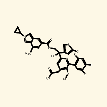 CCOc1c(CC(N)=O)cc(C(O)(CNC(=O)c2cc(OC)c3nn(C4CC4)cc3c2)c2csc(Cl)c2)nc1-c1cc(Cl)c(F)cc1F